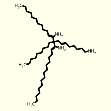 CCCCCCCCCCC=C(N)C(CC=CCCCCCN)(CCCCCCCCC)C(N)=CCCCCCCCCCCCCCC